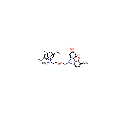 COc1ccc2c3c1O[C@H]1C[C@@H](O)C=C[C@@]31CCN(CCOCCN(C(=O)O)[C@]13C[C@@H]4C[C@@](C)(C[C@@](C)(C4)C1)C3)C2